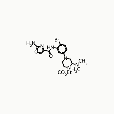 CCOC(=O)N1CCN(c2ccc(Br)c(NC(=O)c3coc(N)n3)c2)CC1N(C)C